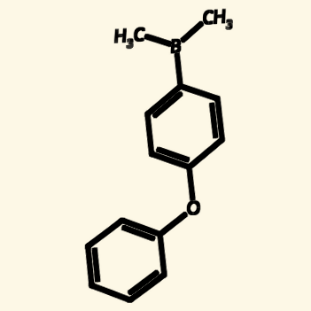 CB(C)c1ccc(Oc2ccccc2)cc1